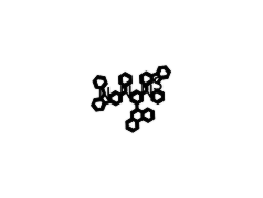 c1ccc(N(c2cc(-c3cc4ccccc4c4ccccc34)cc(N(c3ccccc3)c3cccc4c3sc3ccccc34)c2)c2ccc3c4ccccc4n(-c4ccccc4)c3c2)cc1